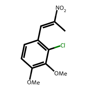 COc1ccc(C=C(C)[N+](=O)[O-])c(Cl)c1OC